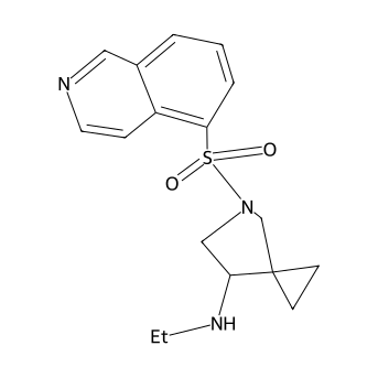 CCNC1CN(S(=O)(=O)c2cccc3cnccc23)CC12CC2